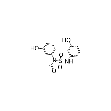 O=[C]N(c1cccc(O)c1)S(=O)(=O)Nc1cccc(O)c1